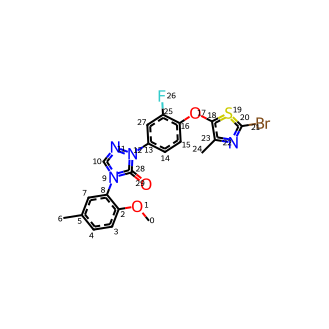 COc1ccc(C)cc1-n1cnn(-c2ccc(Oc3sc(Br)nc3C)c(F)c2)c1=O